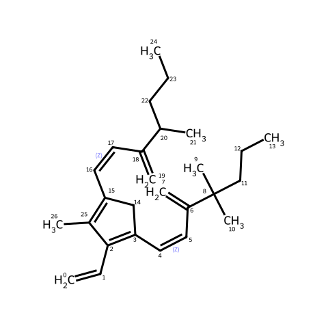 C=CC1=C(/C=C\C(=C)C(C)(C)CCC)CC(/C=C\C(=C)C(C)CCC)=C1C